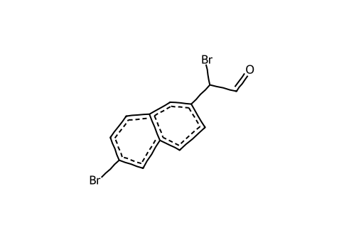 O=CC(Br)c1ccc2cc(Br)ccc2c1